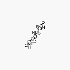 COc1cnc2cc(C(=O)Nc3ccc4c(c3)CN(C3CCC(=O)NC3=O)C4=O)cnc2c1